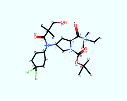 CC[N+](C)(C)C(=O)[C@@H]1C[C@H](N(C(=O)C(C)(C)CO)C2CCC(F)(F)CC2)CN1C(=O)OC(C)(C)C